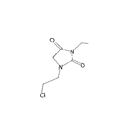 CCN1C(=O)CN(CCCl)C1=O